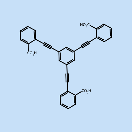 O=C(O)c1ccccc1C#Cc1cc(C#Cc2ccccc2C(=O)O)cc(C#Cc2ccccc2C(=O)O)c1